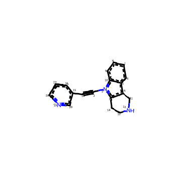 C(#Cn1c2c(c3ccccc31)CNCC2)c1cccnc1